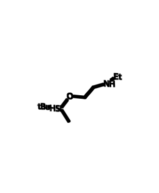 CCNCCO[SiH](C)C(C)(C)C